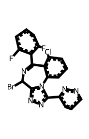 Fc1cccc(F)c1C1=NC(Br)c2nnc(-c3cccnn3)n2-c2cccc(Cl)c21